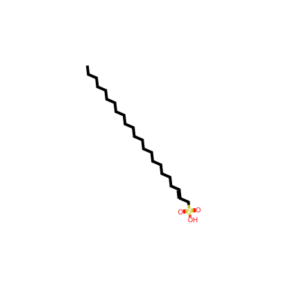 CCCCCCCCCCCCCCCCCCCC/C=C/CS(=O)(=O)O